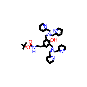 CC(C)(C)OC(=O)NCCc1cc(CN(Cc2ccccn2)Cc2ccccn2)c(O)c(CN(Cc2ccccn2)Cc2ccccn2)c1